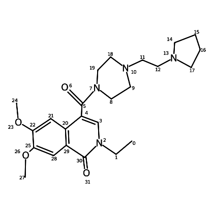 CCn1cc(C(=O)N2CCN(CCN3CCCC3)CC2)c2cc(OC)c(OC)cc2c1=O